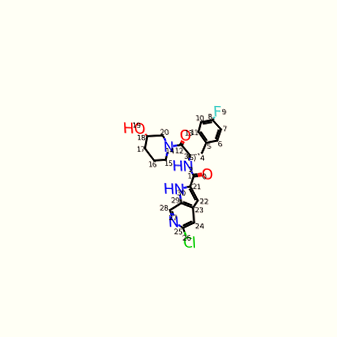 O=C(N[C@@H](Cc1ccc(F)cc1)C(=O)N1CCCC(O)C1)c1cc2cc(Cl)ncc2[nH]1